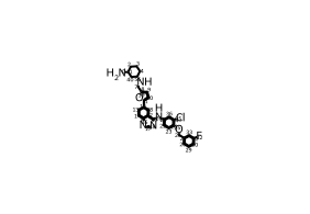 NC1CCCC(NCc2ccc(-c3ccc4ncnc(Nc5ccc(OCc6cccc(F)c6)c(Cl)c5)c4c3)o2)C1